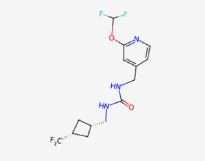 O=C(NCc1ccnc(OC(F)F)c1)NC[C@H]1C[C@@H](C(F)(F)F)C1